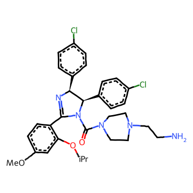 COc1ccc(C2=N[C@@H](c3ccc(Cl)cc3)[C@@H](c3ccc(Cl)cc3)N2C(=O)N2CCN(CCN)CC2)c(OC(C)C)c1